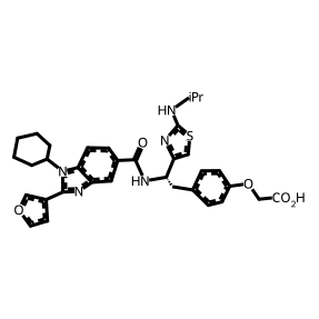 CC(C)Nc1nc([C@H](Cc2ccc(OCC(=O)O)cc2)NC(=O)c2ccc3c(c2)nc(-c2ccoc2)n3C2CCCCC2)cs1